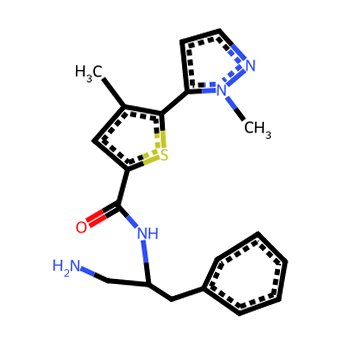 Cc1cc(C(=O)NC(CN)Cc2ccccc2)sc1-c1ccnn1C